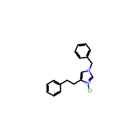 Cl[n+]1cn(Cc2ccccc2)cc1[CH]Cc1ccccc1